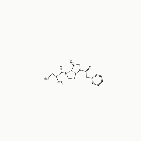 CC(C)(C)CC(N)C(=O)N1CCC2C1C(=O)CN2C(=O)Cc1cccnc1